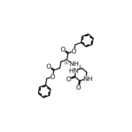 N[C@@H](CCC(=O)OCc1ccccc1)C(=O)OCc1ccccc1.O=C1NCCNC1=O